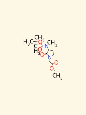 CCOC(=O)CN1CCC(N(C)C(=O)OC(C)(C)C)C1=O